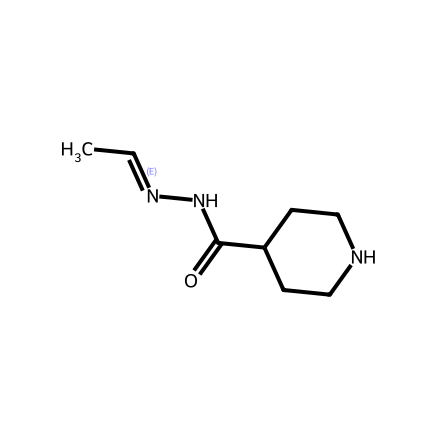 C/C=N/NC(=O)C1CCNCC1